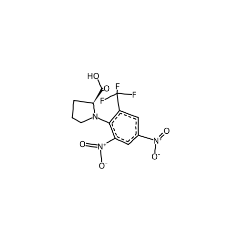 O=C(O)[C@@H]1CCCN1c1c([N+](=O)[O-])cc([N+](=O)[O-])cc1C(F)(F)F